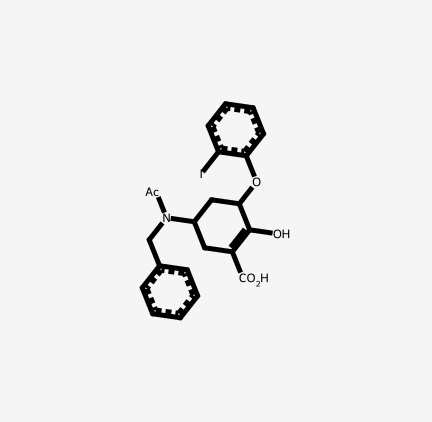 CC(=O)N(Cc1ccccc1)C1CC(C(=O)O)=C(O)C(Oc2ccccc2I)C1